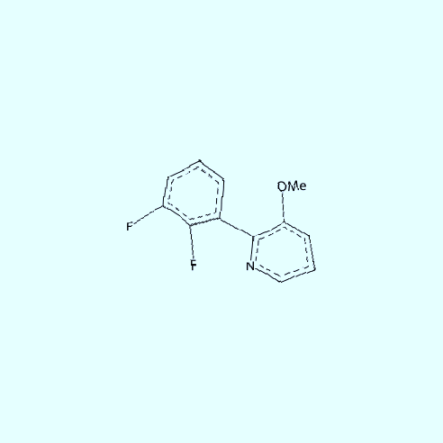 COc1cccnc1-c1cccc(F)c1F